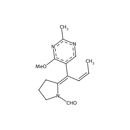 C/C=C\C(=C1\CCCN1C=O)c1cnc(C)nc1OC